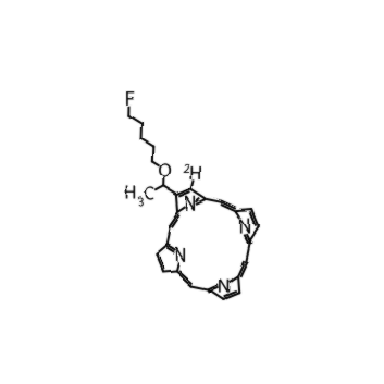 [2H]C1=C(C(C)OCCCCCF)C2=CC3=NC(=CC4=NC(=CC5=NC(=CC1=N2)C=C5)C=C4)C=C3